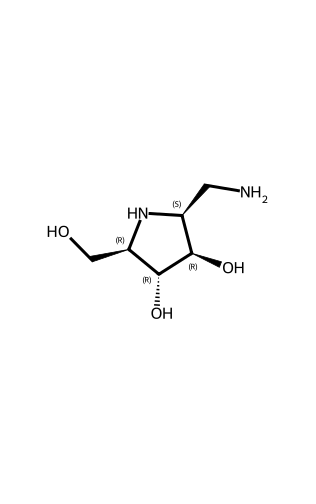 NC[C@@H]1N[C@H](CO)[C@@H](O)[C@@H]1O